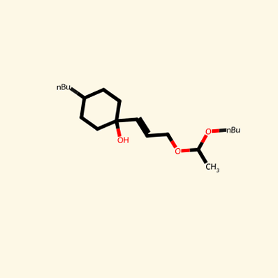 CCCCOC(C)OCC=CC1(O)CCC(CCCC)CC1